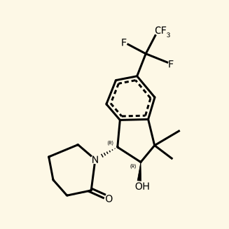 CC1(C)c2cc(C(F)(F)C(F)(F)F)ccc2[C@@H](N2CCCCC2=O)[C@@H]1O